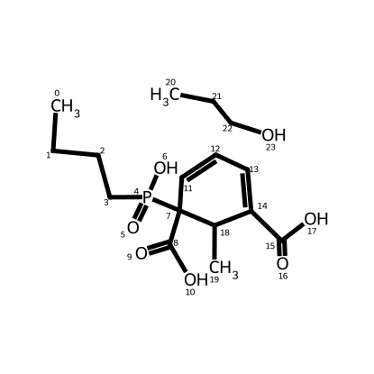 CCCCP(=O)(O)C1(C(=O)O)C=CC=C(C(=O)O)C1C.CCCO